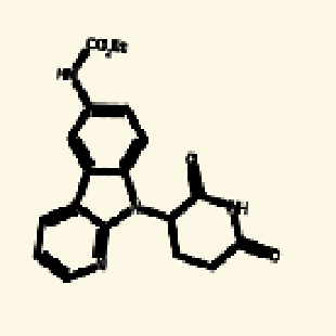 CCOC(=O)Nc1ccc2c(c1)c1cccnc1n2C1CCC(=O)NC1=O